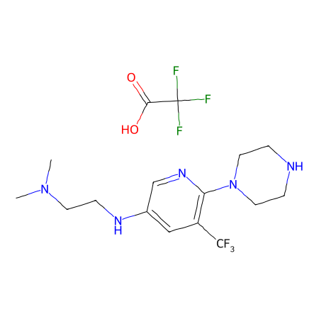 CN(C)CCNc1cnc(N2CCNCC2)c(C(F)(F)F)c1.O=C(O)C(F)(F)F